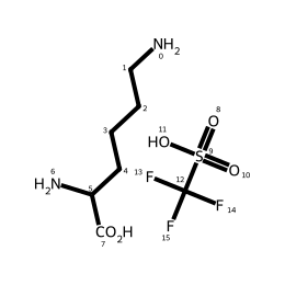 NCCCCC(N)C(=O)O.O=S(=O)(O)C(F)(F)F